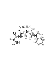 CN[C@@H](C)C(=O)N[C@H]1CCOC2CC[C@H](C(=O)n3ccc4ccccc43)N2C1=O